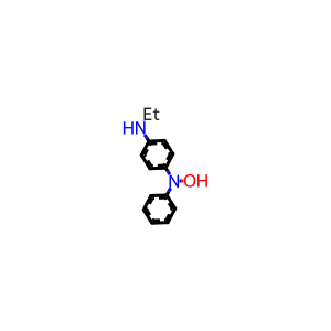 CCNc1ccc(N(O)c2ccccc2)cc1